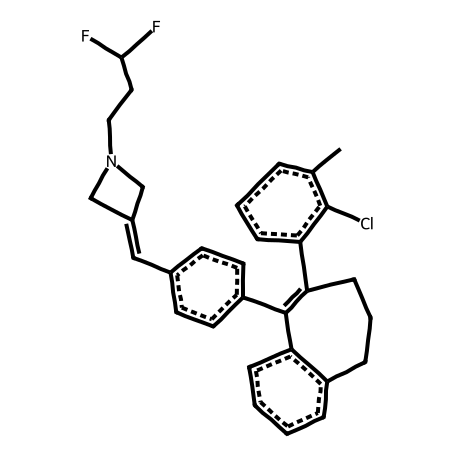 Cc1cccc(C2=C(c3ccc(C=C4CN(CCC(F)F)C4)cc3)c3ccccc3CCC2)c1Cl